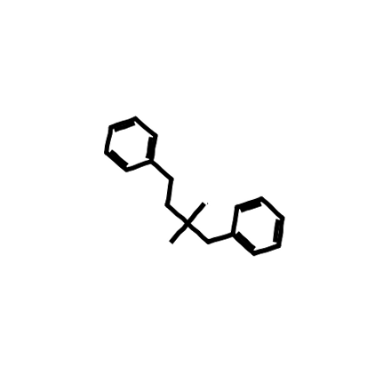 [CH2]C(C)(CCc1ccccc1)Cc1ccccc1